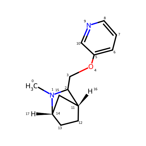 CN1C(COc2cccnc2)[C@@H]2CC[C@H]1C2